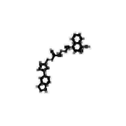 O=C(CCc1nc(-c2ccc3c(c2)CCO3)no1)NCCNc1n[nH]c(=O)c2ccccc12